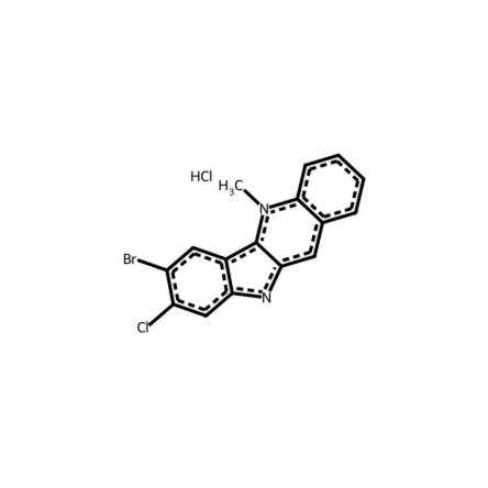 Cl.Cn1c2c3cc(Br)c(Cl)cc3nc-2cc2ccccc21